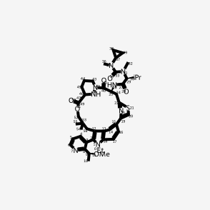 CCn1c(-c2cccnc2[C@H](C)OC)c2c3cc(ccc31)-c1csc(n1)C[C@H](NC(=O)[C@H](C(C)C)N(C)C(=O)N(C)C1CC1)C(=O)N1CCC[C@@](C)(N1)C(=O)OCC(C)(C)C2